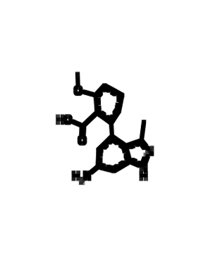 COc1cccc(-c2cc(N)cc3[nH]nc(C)c23)c1C(=O)O